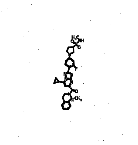 CNS(=O)(=O)C1CCN(c2ccc(-c3cc4nc(C(=O)N5CCc6ccccc6[C@H]5C)cc(C5CC5)n4n3)c(F)c2)C1